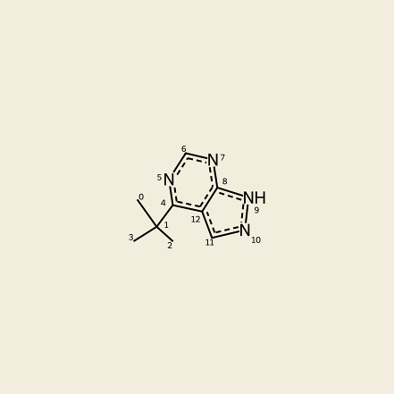 CC(C)(C)c1ncnc2[nH]ncc12